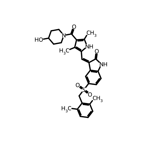 Cc1cccc(C)c1CS(=O)(=O)c1ccc2c(c1)/C(=C/c1[nH]c(C)c(C(=O)N3CCC(O)CC3)c1C)C(=O)N2